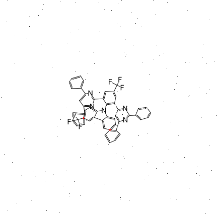 FC(F)(F)c1cc(-c2cc(-c3ccccc3)nc(-c3ccccc3)n2)c(-n2c3ccccc3c3cc(C(F)(F)F)ccc32)c(-c2nc(-c3ccccc3)cc(-c3ccccc3)n2)c1